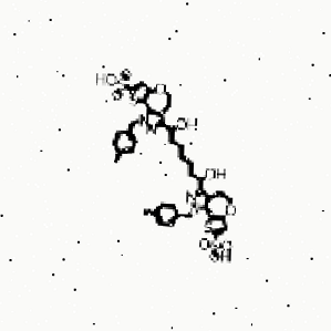 Cc1ccc(Cn2nc(C(O)CCCCCC(O)c3nn(Cc4ccc(C)cc4)c4c3CCOc3cc(S(=O)(=O)O)sc3-4)c3c2-c2sc(S(=O)(=O)O)cc2OCC3)cc1